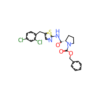 O=C(Nc1ncc(Cc2ccc(Cl)cc2Cl)s1)[C@@H]1CCCN1C(=O)OCc1ccccc1